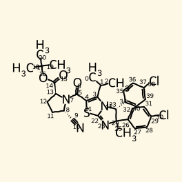 CC(C)C1=C(C(=O)N2[C@H](C#N)CC[C@H]2C(=O)OC(C)(C)C)SC2=N[C@@](C)(c3ccc(Cl)cc3)[C@@H](c3ccc(Cl)cc3)N21